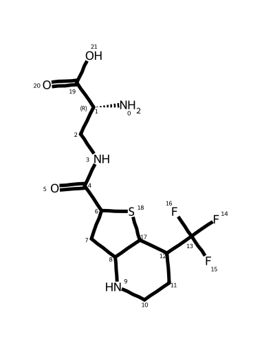 N[C@H](CNC(=O)C1CC2NCCC(C(F)(F)F)C2S1)C(=O)O